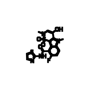 CN1C=C(O)c2c(c3c(C(=O)Nc4nccs4)c(F)ccc3n2C)S1(=O)=O